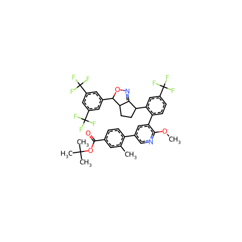 COc1ncc(-c2ccc(C(=O)OC(C)(C)C)cc2C)cc1-c1ccc(C(F)(F)F)cc1C1CCC2C1=NOC2c1cc(C(F)(F)F)cc(C(F)(F)F)c1